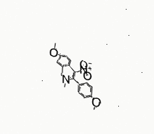 COc1ccc(C2=C([N+](=O)[O-])c3ccc(OC)cc3CN2C)cc1